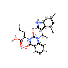 CCCC(C(=O)OC)n1c(=O)c2ccccc2n(C(C)c2c[nH]c3cc(C)cc(C)c23)c1=O